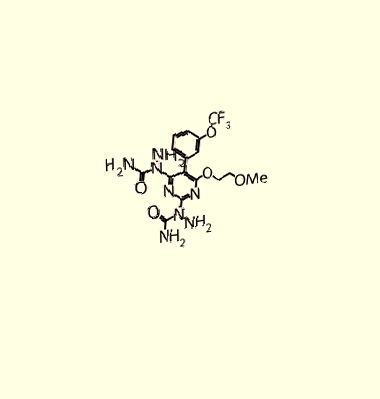 COCCOc1nc(N(N)C(N)=O)nc(N(N)C(N)=O)c1-c1cccc(OC(F)(F)F)c1